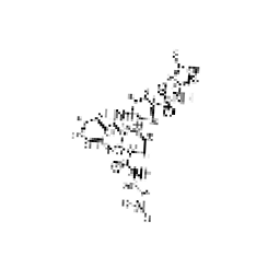 Cc1cc(NS(=O)(=O)c2ccc(Nc3c4ccccc4nc4c(C(=O)NCCN(C)C)cccc34)cc2)no1